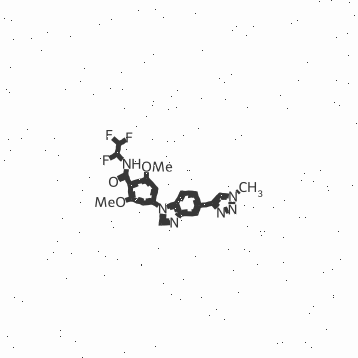 COc1cc(-n2cnc3cc(-c4cn(C)nn4)ccc32)cc(OC)c1C(=O)NC(F)C(F)F